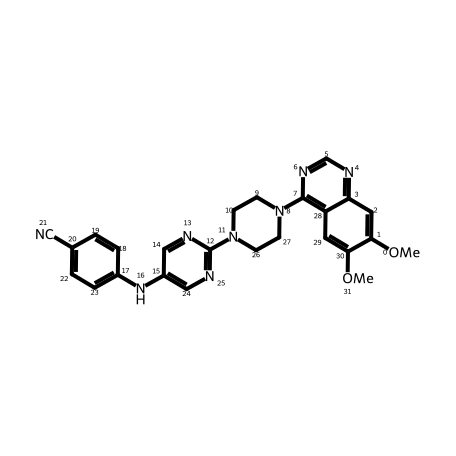 COc1cc2ncnc(N3CCN(c4ncc(Nc5ccc(C#N)cc5)cn4)CC3)c2cc1OC